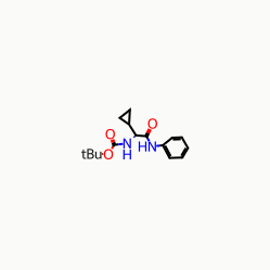 CC(C)(C)OC(=O)N[C@@H](C(=O)Nc1ccccc1)C1CC1